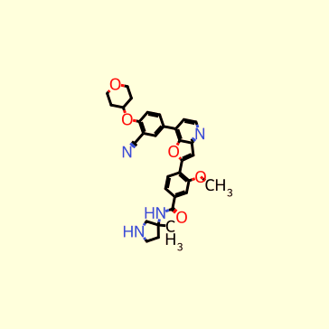 COc1cc(C(=O)NC2(C)CCNC2)ccc1-c1cc2nccc(-c3ccc(OC4CCOCC4)c(C#N)c3)c2o1